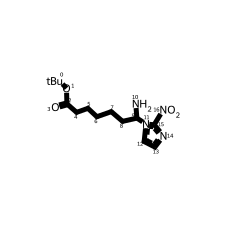 CC(C)(C)OC(=O)CCCCCC(N)n1ccnc1[N+](=O)[O-]